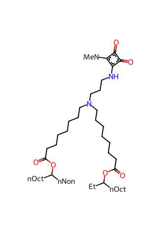 CCCCCCCCCC(CCCCCCCC)OC(=O)CCCCCCCN(CCCCCCCC(=O)OC(CC)CCCCCCCC)CCCNc1c(NC)c(=O)c1=O